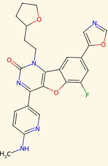 CNc1ccc(-c2nc(=O)n(CCC3CCCO3)c3c2oc2c(F)cc(-c4cnco4)cc23)cn1